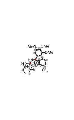 COc1cc(C(=O)NC2C[C@H]3CCC[C@@H](C2)N3Cc2nc3c(C(F)(F)F)cccc3s2)cc(OC)c1OC